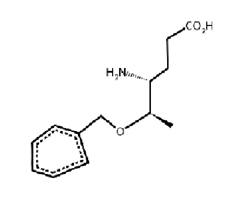 C[C@@H](OCc1ccccc1)[C@H](N)CCC(=O)O